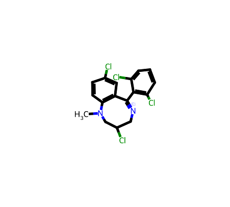 CN1CC(Cl)C/N=C(/c2c(Cl)cccc2Cl)c2cc(Cl)ccc21